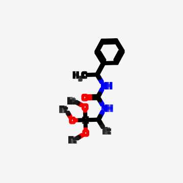 CCO[Si](OCC)(OCC)C(CC)NC(=O)NC(C)c1ccccc1